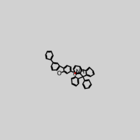 NN(c1ccc2c(c1)oc1ccc(-c3ccccc3)cc12)c1ccccc1C1(c2ccccc2)c2ccccc2-c2ccccc21